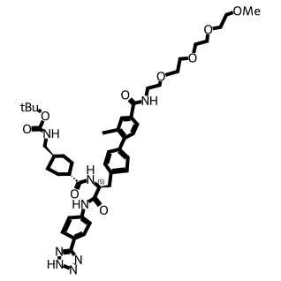 COCCOCCOCCOCCNC(=O)c1ccc(-c2ccc(C[C@H](NC(=O)[C@H]3CC[C@H](CNC(=O)OC(C)(C)C)CC3)C(=O)Nc3ccc(-c4nn[nH]n4)cc3)cc2)c(C)c1